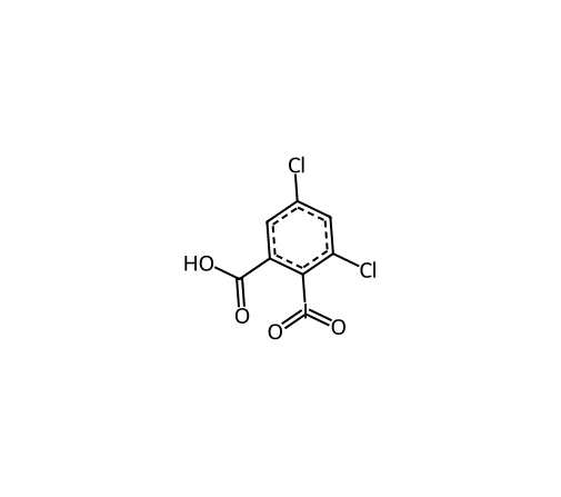 O=C(O)c1cc(Cl)cc(Cl)c1I(=O)=O